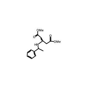 COC(=O)C=C(CC(=O)OC)NC(C)c1ccccc1